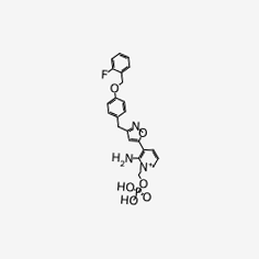 Nc1c(-c2cc(Cc3ccc(OCc4ccccc4F)cc3)no2)ccc[n+]1COP(=O)(O)O